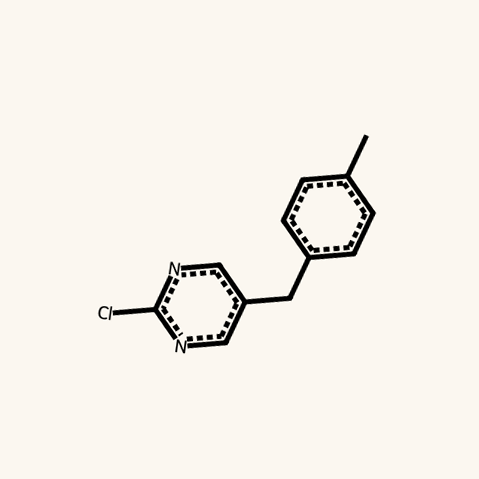 Cc1ccc(Cc2cnc(Cl)nc2)cc1